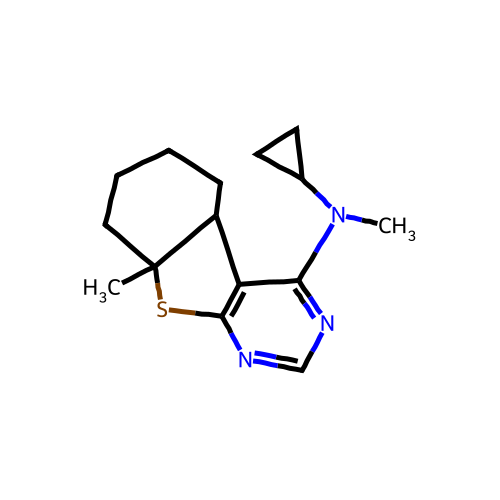 CN(c1ncnc2c1C1CCCCC1(C)S2)C1CC1